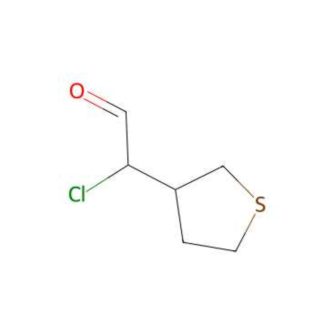 O=CC(Cl)C1CCSC1